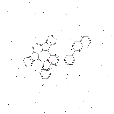 c1ccc(-c2nc(-c3cccc(-c4ccc5ccccc5n4)c3)nc(C3c4ccccc4-c4ccc5c(c43)C(c3ccccc3)c3ccccc3-5)n2)cc1